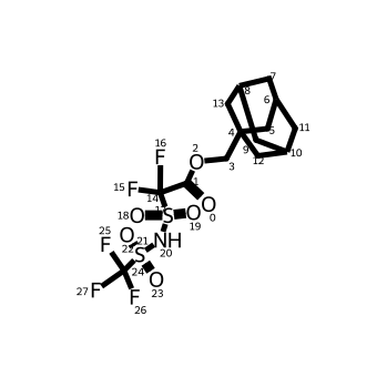 O=C(OCC12CC3CC(CC(C3)C1)C2)C(F)(F)S(=O)(=O)NS(=O)(=O)C(F)(F)F